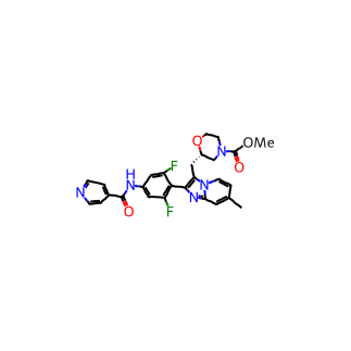 COC(=O)N1CCO[C@@H](Cc2c(-c3c(F)cc(NC(=O)c4ccncc4)cc3F)nc3cc(C)ccn23)C1